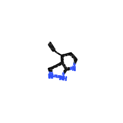 C#Cc1ccnc2[nH]ncc12